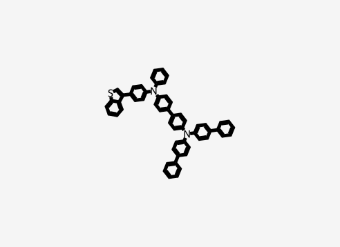 c1ccc(-c2ccc(N(c3ccc(-c4ccccc4)cc3)c3ccc(-c4ccc(N(c5ccccc5)c5ccc(-c6csc7ccccc67)cc5)cc4)cc3)cc2)cc1